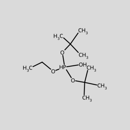 CCO[PH](O)(OC(C)(C)C)OC(C)(C)C